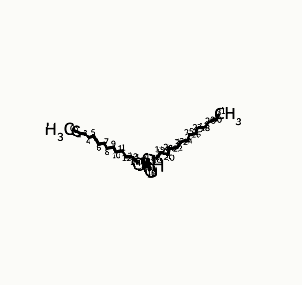 CCCCCCCCCCCCCCO[PH](=O)OCCCCCCCCCCCCCC